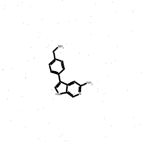 NCc1ccc(-c2c[nH]c3cnc(N)cc23)cc1